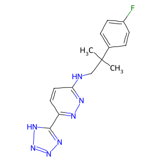 CC(C)(CNc1ccc(-c2nnn[nH]2)nn1)c1ccc(F)cc1